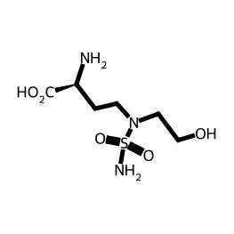 N[C@@H](CCN(CCO)S(N)(=O)=O)C(=O)O